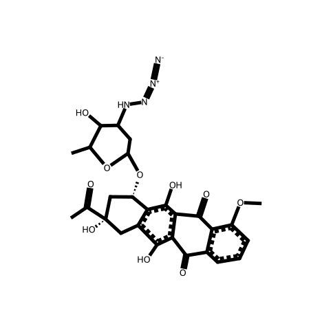 COc1cccc2c1C(=O)c1c(O)c3c(c(O)c1C2=O)C[C@@](O)(C(C)=O)C[C@@H]3OC1CC(NN=[N+]=[N-])C(O)C(C)O1